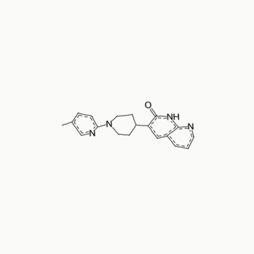 Cc1ccc(N2CCC(c3cc4cccnc4[nH]c3=O)CC2)nc1